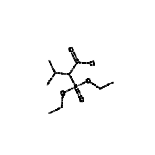 CCOP(=O)(OCC)C(C(=O)Cl)C(C)C